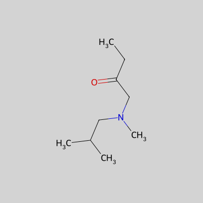 CCC(=O)CN(C)CC(C)C